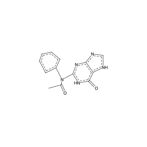 CC(=O)N(c1ccccc1)c1nc2nc[nH]c2c(=O)[nH]1